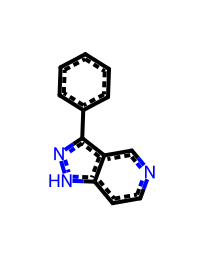 c1ccc(-c2n[nH]c3ccncc23)cc1